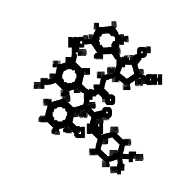 N#Cc1ccnc(N2C(=O)[C@H](O)C[C@H]2CC(=O)N(c2cc(F)cc(F)c2)[C@@H](C(=O)NC2CCC(F)(F)CC2)c2ccccc2Cl)c1